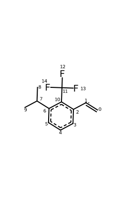 C=[C]c1cccc(C(C)C)c1C(F)(F)F